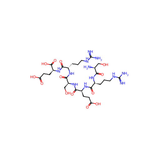 N=C(N)NCCC[C@H](NC(=O)[C@H](CO)NC(=O)[C@H](CCC(=O)O)NC(=O)[C@H](CCCNC(=N)N)NC(=O)[C@@H](N)CO)C(=O)N[C@@H](CCC(=O)O)C(=O)O